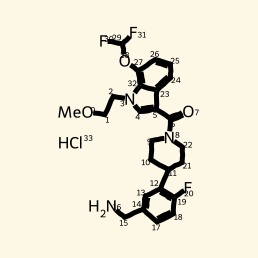 COCCn1cc(C(=O)N2CCC(c3cc(CN)ccc3F)CC2)c2cccc(OC(F)F)c21.Cl